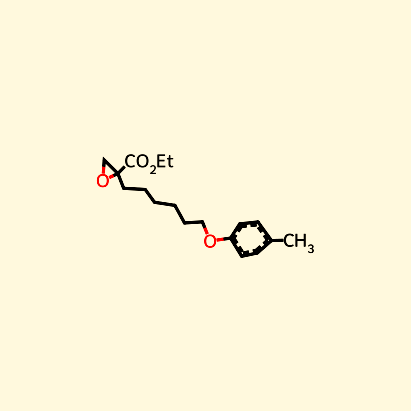 CCOC(=O)C1(CCCCCCOc2ccc(C)cc2)CO1